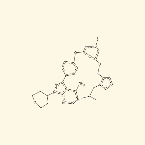 CC(C)Cn1cccc1COc1cc(F)cc(Oc2ccc(-c3nn(C4CCOCC4)c4ncnc(N)c34)cc2)c1